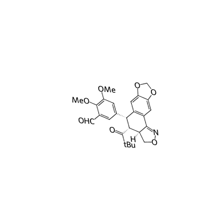 COc1cc([C@@H]2c3cc4c(cc3C3=NOC[C@H]3[C@@H]2C(=O)C(C)(C)C)OCO4)cc(C=O)c1OC